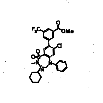 COC(=O)c1cc(-c2cc3c(cc2Cl)N(c2ccccc2)C[C@@H](C2CCCCC2)N(C)S3(=O)=O)cc(C(F)(F)F)c1